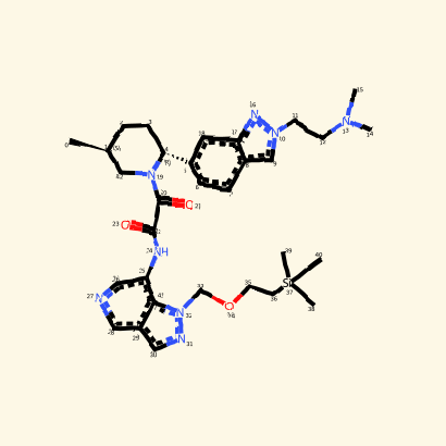 C[C@H]1CC[C@H](c2ccc3cn(CCN(C)C)nc3c2)N(C(=O)C(=O)Nc2cncc3cnn(COCC[Si](C)(C)C)c23)C1